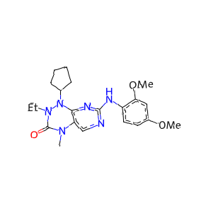 CCN1C(=O)N(C)c2cnc(Nc3ccc(OC)cc3OC)nc2N1C1CCCC1